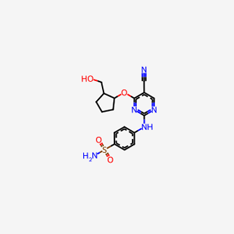 N#Cc1cnc(Nc2ccc(S(N)(=O)=O)cc2)nc1OC1CCCC1CO